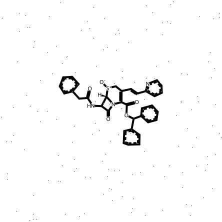 O=C(Cc1ccccc1)NC1C(=O)N2C(C(=O)OC(c3ccccc3)c3ccccc3)=C(C=Cc3ccccn3)C[S+]([O-])[C@@H]12